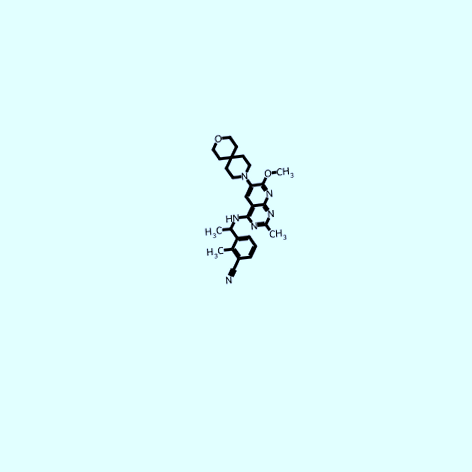 COc1nc2nc(C)nc(NC(C)c3cccc(C#N)c3C)c2cc1N1CCC2(CCOCC2)CC1